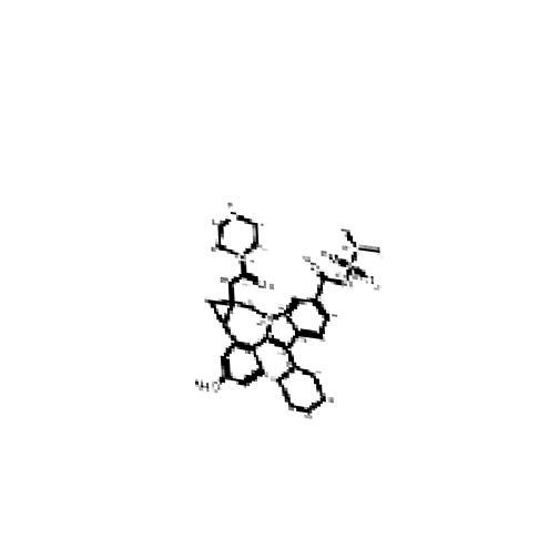 COc1ccc2c(c1)C1CC1(CC(=O)N1CCOCC1)Cn1c-2c(C2CCCCC2)c2ccc(C(=O)NS(=O)(=O)N(C)C)cc21